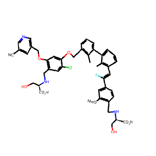 COc1cc(/C(F)=C/c2cccc(-c3cccc(COc4cc(OCc5cncc(C#N)c5)c(CN[C@H](CO)C(=O)O)cc4Cl)c3C)c2C)ccc1CN[C@H](CO)C(=O)O